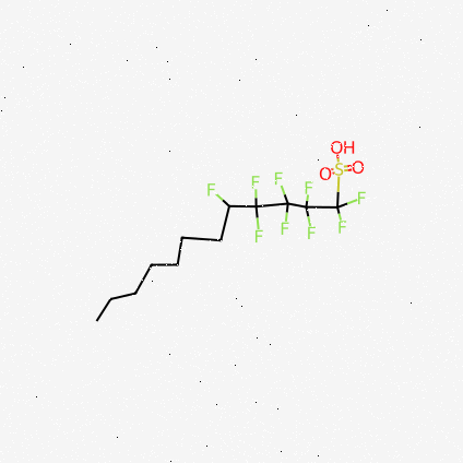 CCCCCCCC(F)C(F)(F)C(F)(F)C(F)(F)C(F)(F)S(=O)(=O)O